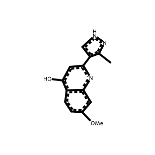 COc1ccc2c(O)cc(-c3c[nH]nc3C)nc2c1